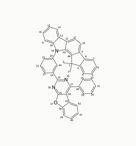 CC1(C)c2ccccc2-c2ccc3c4ccccc4n(-c4cccc(-c5nc(-c6ccccc6)c6c(n5)oc5ccccc56)c4)c3c21